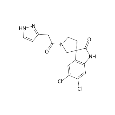 O=C(Cc1cc[nH]n1)N1CC[C@]2(C1)C(=O)Nc1cc(Cl)c(Cl)cc12